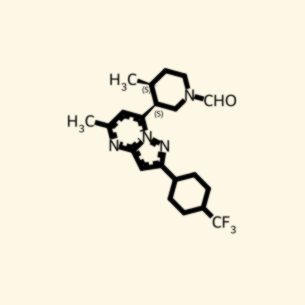 Cc1cc([C@@H]2CN(C=O)CC[C@@H]2C)n2nc(C3CCC(C(F)(F)F)CC3)cc2n1